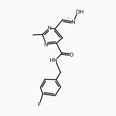 Cc1nc(/C=N/O)cc(C(=O)NCc2ccc(F)cc2)n1